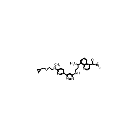 CNC(=O)c1ccnc2c(C(C)CCNc3cc(-c4ccc(N(C)CCOCC5CC5)nc4)ncn3)cccc12